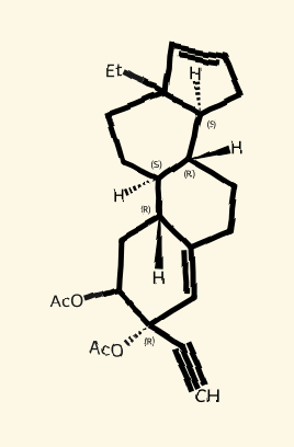 C#C[C@]1(OC(C)=O)C=C2CC[C@@H]3[C@H](CCC4(CC)C=CC[C@@H]34)[C@H]2CC1OC(C)=O